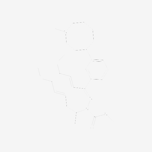 CNC(=O)N1N=C(c2cccc(C3CCCCN(C)CC3)c2)c2cc(OC)c(OC)cc2CC1C